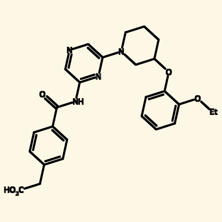 CCOc1ccccc1OC1CCCN(c2cncc(NC(=O)c3ccc(CC(=O)O)cc3)n2)C1